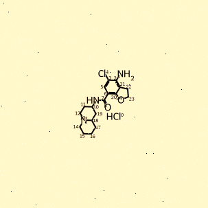 Cl.Nc1c(Cl)cc(C(=O)NC2CCN3CCCCC3C2)c2c1CCO2